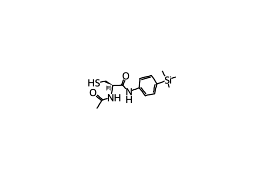 CC(=O)N[C@@H](CS)C(=O)Nc1ccc([Si](C)(C)C)cc1